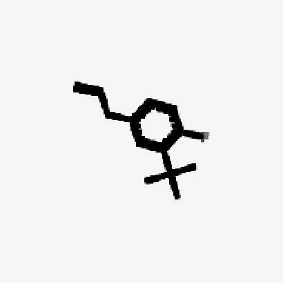 C=CCc1ccc(F)c(C(C)(C)C)c1